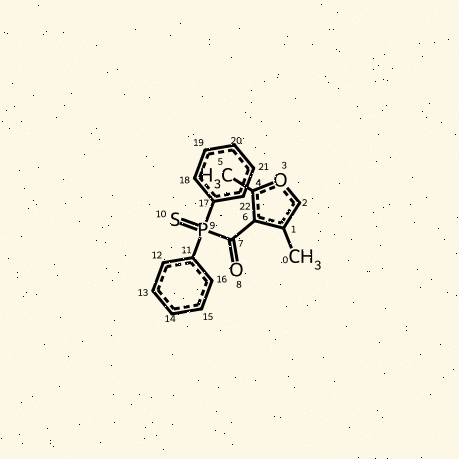 Cc1coc(C)c1C(=O)P(=S)(c1ccccc1)c1ccccc1